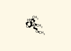 C=CN(CCOC)[C@H]1COCC[C@@]12N[C@H](C)CO2